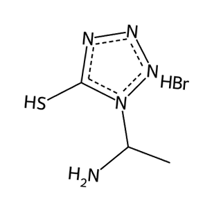 Br.CC(N)n1nnnc1S